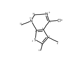 Cc1sc2c(c1C)C(Cl)=NCN2C